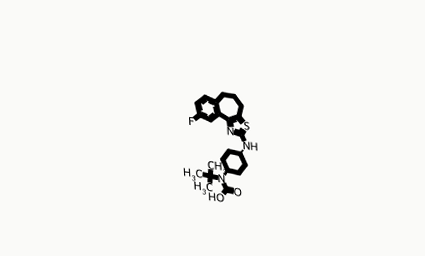 CC(C)(C)N(C(=O)O)[C@H]1CC[C@H](Nc2nc3c(s2)CCCc2ccc(F)cc2-3)CC1